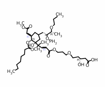 CCCCCCCC(=O)O[C@H]1/C(=C/C(=O)OC)CC(C[C@@H](OP)[C@@H](C)OCCCC)C[C@@]1(O)C(C)(C)/C=C/C(=O)OCCCOCC[C@@H](O)CC(=O)O